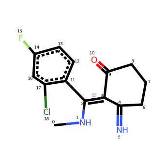 CN/C(=C1\C(=N)CCCC1=O)c1ccc(F)cc1Cl